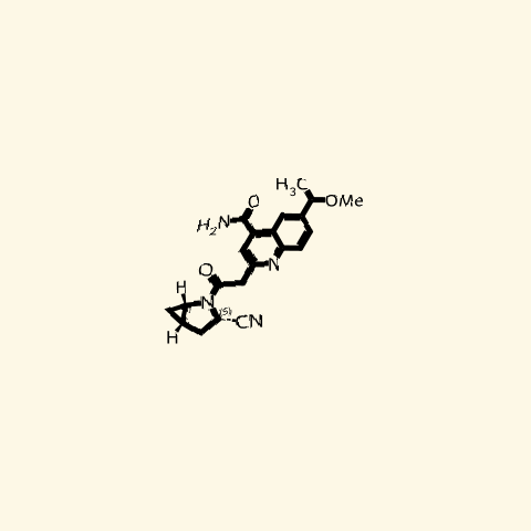 COC(C)c1ccc2nc(CC(=O)N3[C@H](C#N)C[C@@H]4C[C@@H]43)cc(C(N)=O)c2c1